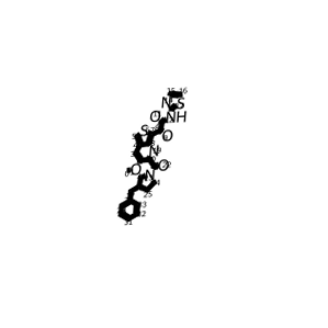 COc1cc2csc(C(=O)C(=O)Nc3nccs3)c2nc1C(=O)N1CCC(Cc2ccccc2)C1